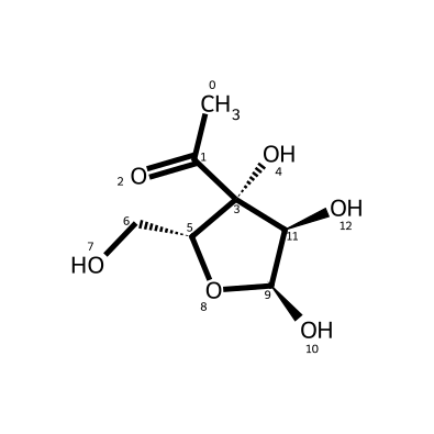 CC(=O)[C@]1(O)[C@@H](CO)O[C@H](O)[C@@H]1O